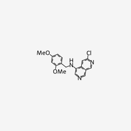 COc1ccc(CNc2cncc3cnc(Cl)cc23)c(OC)c1